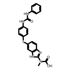 CN(C(=O)O)c1nc2ccc(Sc3ccc(NC(=O)Nc4ccccc4)cc3)cc2[nH]1